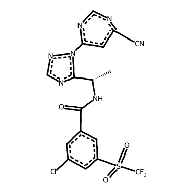 C[C@H](NC(=O)c1cc(Cl)cc(S(=O)(=O)C(F)(F)F)c1)c1ncnn1-c1cc(C#N)ncn1